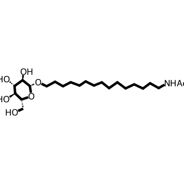 CC(=O)NCCCCCCCCCCCCCCCO[C@@H]1O[C@H](CO)[C@@H](O)[C@H](O)[C@H]1O